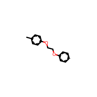 Cc1ccc(OCCOc2cc[c]cc2)cc1